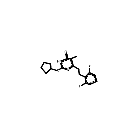 Cc1c(CCc2c(F)cccc2F)nc(SC2CCCC2)[nH]c1=O